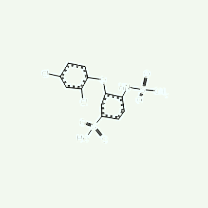 CS(=O)(=O)Nc1ccc(S(=O)(=O)O)cc1Oc1ccc(Cl)cc1Cl